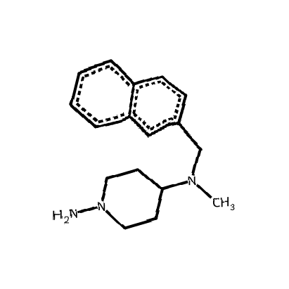 CN(Cc1ccc2ccccc2c1)C1CCN(N)CC1